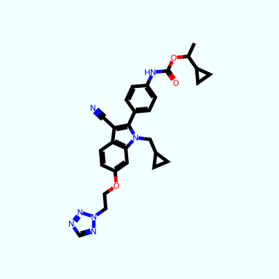 CC(OC(=O)Nc1ccc(-c2c(C#N)c3ccc(OCCn4ncnn4)cc3n2CC2CC2)cc1)C1CC1